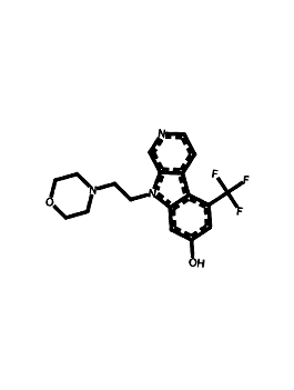 Oc1cc(C(F)(F)F)c2c3ccncc3n(CCN3CCOCC3)c2c1